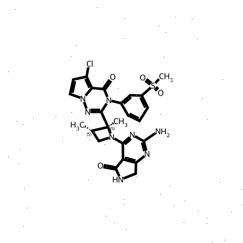 C[C@H]1CN(c2nc(N)nc3c2C(=O)NC3)[C@]1(C)c1nn2ccc(Cl)c2c(=O)n1-c1cccc(S(C)(=O)=O)c1